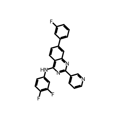 Fc1cccc(-c2ccc3c(Nc4ccc(F)c(F)c4)nc(-c4cccnc4)nc3c2)c1